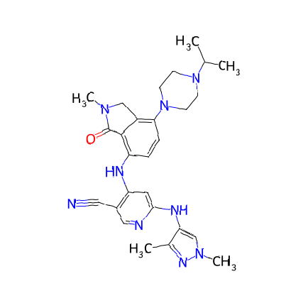 Cc1nn(C)cc1Nc1cc(Nc2ccc(N3CCN(C(C)C)CC3)c3c2C(=O)N(C)C3)c(C#N)cn1